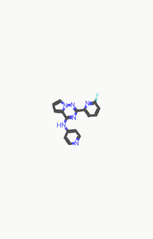 Fc1cccc(-c2nc(Nc3ccncc3)c3cccn3n2)n1